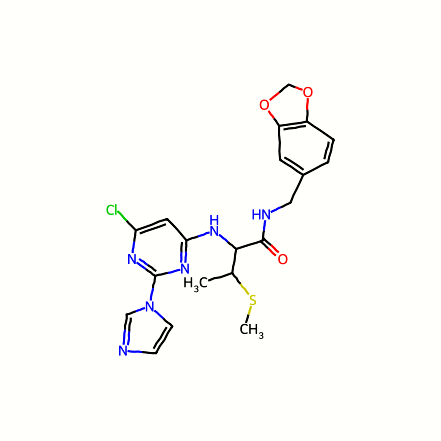 CSC(C)C(Nc1cc(Cl)nc(-n2ccnc2)n1)C(=O)NCc1ccc2c(c1)OCO2